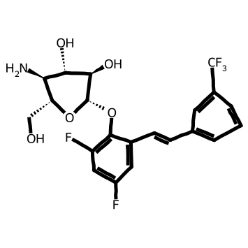 N[C@H]1[C@H](O)[C@@H](O)[C@H](Oc2c(F)cc(F)cc2/C=C/c2cccc(C(F)(F)F)c2)O[C@@H]1CO